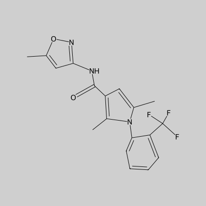 Cc1cc(NC(=O)c2cc(C)n(-c3ccccc3C(F)(F)F)c2C)no1